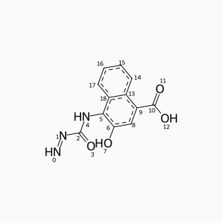 N=NC(=O)Nc1c(O)cc(C(=O)O)c2ccccc12